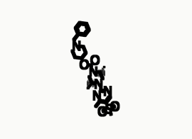 Cc1nc(N2C[C@@H](C)N(C(=O)OC3CCN(Cc4ccccc4)CC3)C[C@@H]2C)ncc1S(C)(=O)=O